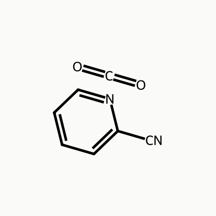 N#Cc1ccccn1.O=C=O